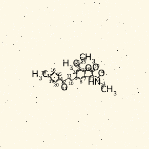 CCNC(=O)c1cc2cc(/C=C/C(=O)c3ccc(C)cc3)cc(C(C)CC)c2oc1=O